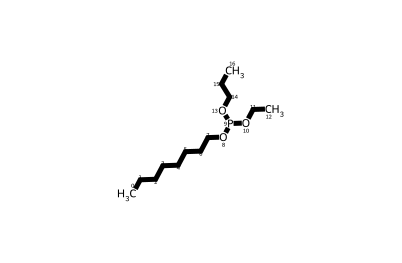 CCCCCCCCOP(OCC)OCCC